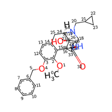 COc1c(OCc2ccccc2)ccc2c1[C@]13CCN(CC4CC4)[C@H](C2)[C@]1(O)CCNC(=O)C3